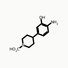 Nc1ccc(C2CCN(C(=O)O)CC2)cc1O